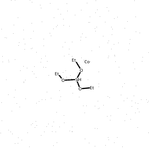 CCO[SiH](OCC)OCC.[Co]